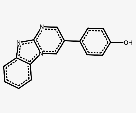 Oc1ccc(-c2cnc3nc4ccccc4n3c2)cc1